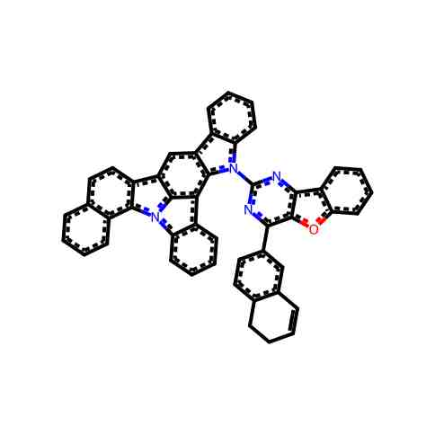 C1=Cc2cc(-c3nc(-n4c5ccccc5c5cc6c7ccc8ccccc8c7n7c8ccccc8c(c54)c67)nc4c3oc3ccccc34)ccc2CC1